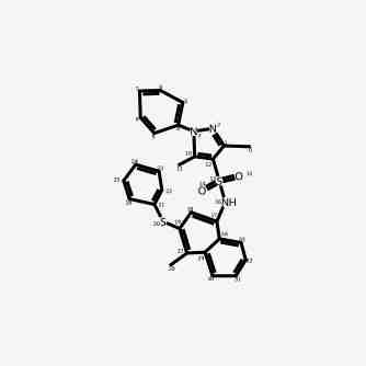 Cc1nn(-c2ccccc2)c(C)c1S(=O)(=O)Nc1cc(Sc2ccccc2)c(C)c2ccccc12